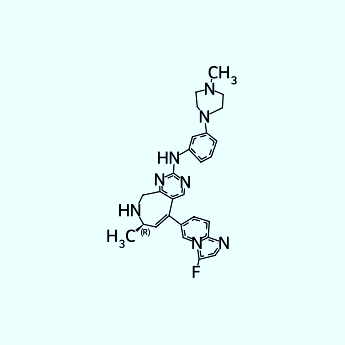 C[C@@H]1C=C(c2ccc3ncc(F)n3c2)c2cnc(Nc3cccc(N4CCN(C)CC4)c3)nc2CN1